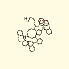 C/C=C\C=C(/Cc1cccc2ccccc12)c1cccc(N2c3ccccc3CCc3ccccc32)ccc(-c2ccccc2-c2cccc3ccccc23)c2ccc(N3c4ccccc4CCc4ccccc43)cc12